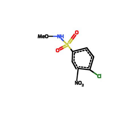 CONS(=O)(=O)c1ccc(Cl)c([N+](=O)[O-])c1